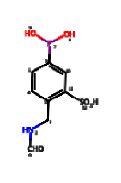 O=CNCc1ccc(P(O)O)cc1S(=O)(=O)O